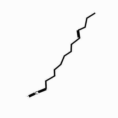 [CH]=C=CCCCCCCCC=CCCC